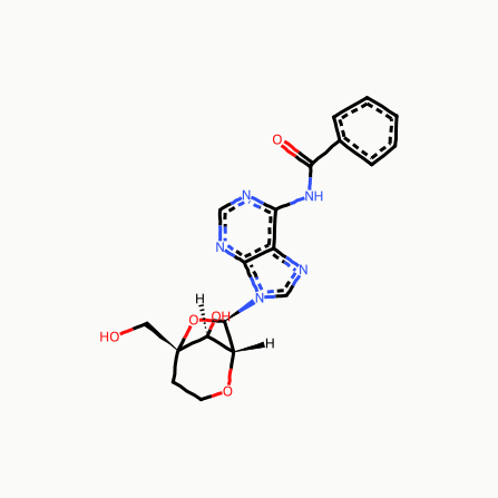 O=C(Nc1ncnc2c1ncn2[C@@H]1O[C@@]2(CO)CCO[C@@H]1[C@@H]2O)c1ccccc1